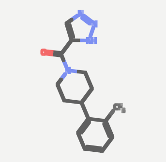 O=C(c1cnn[nH]1)N1CCC(c2ccccc2C(F)(F)F)CC1